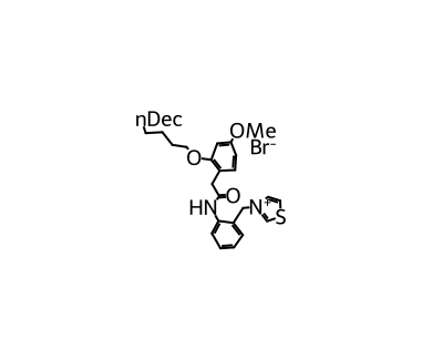 CCCCCCCCCCCCCCOc1cc(OC)ccc1CC(=O)Nc1ccccc1C[n+]1ccsc1.[Br-]